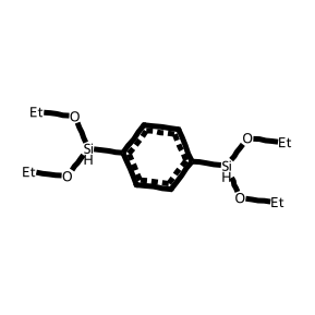 CCO[SiH](OCC)c1ccc([SiH](OCC)OCC)cc1